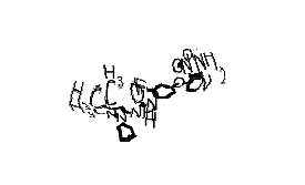 CC(C)(C)c1cc(NC(=O)Nc2ccc(Oc3ccnc(N)c3[N+](=O)[O-])cc2F)n(-c2ccccc2)n1